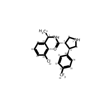 C[C@@H](NC(=O)[C@@H]1CNC[C@H]1c1ccc(C(F)(F)F)cc1)c1cccc(Cl)c1